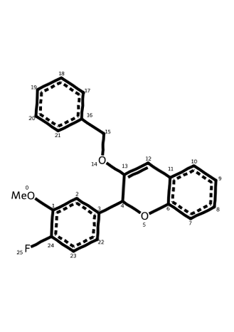 COc1cc(C2Oc3ccccc3C=C2OCc2ccccc2)ccc1F